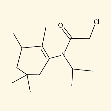 CC1=C(N(C(=O)CCl)C(C)C)CC(C)(C)CC1C